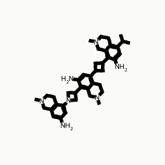 CC(C)c1cc(N)c(C2CC(c3cc(N)c(C4CN(c5cc(N)cc6c5CCN(C)C6)C4)c4c3CCN(C)C4)C2)c2c1CCN(C)C2